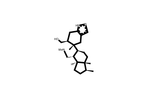 CNC[C@@H]1[C@@H]([C@@]2(C)Cc3cn[nH]c3C[C@@H]2CO)CC[C@]2(C)[C@@H](C)CC[C@@H]12